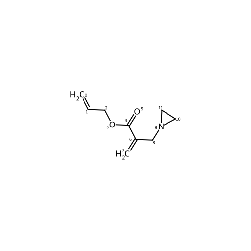 C=CCOC(=O)C(=C)CN1CC1